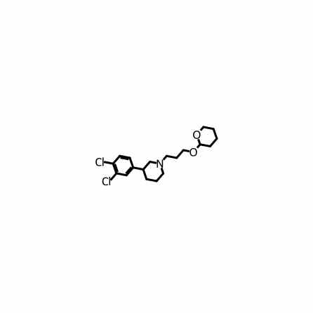 Clc1ccc(C2CCCN(CCCOC3CCCCO3)C2)cc1Cl